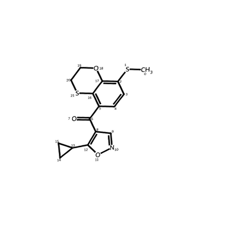 CSc1ccc(C(=O)c2cnoc2C2CC2)c2c1OCCS2